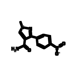 Cn1cc(C(N)=O)c(-c2ccc([N+](=O)[O-])cc2)n1